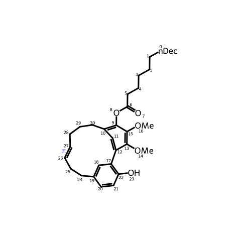 CCCCCCCCCCCCCCCC(=O)Oc1c2cc(c(OC)c1OC)-c1cc(ccc1O)CC/C=C/CCC2